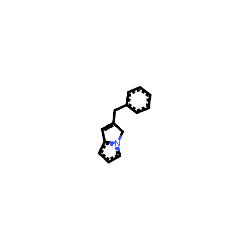 C1=C(Cc2ccccc2)Cn2cccc21